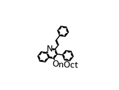 CCCCCCCCOc1c(-c2ccccc2)c(C=Cc2ccccc2)nc2ccccc12